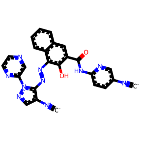 [C-]#[N+]c1ccc(NC(=O)c2cc3ccccc3c(/N=N/c3c([N+]#[C-])cnn3-c3cnccn3)c2O)nc1